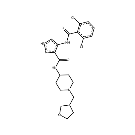 O=C(NC1CCN(CC2CCOC2)CC1)c1n[nH]cc1NC(=O)c1c(Cl)cccc1Cl